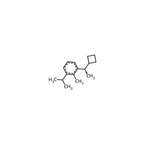 Cc1c(C(C)C)cccc1[C@H](C)C1CCC1